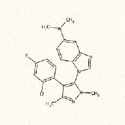 Cc1nn(C)c(-n2cnc3cc(N(C)C)ccc32)c1-c1ccc(F)cc1Cl